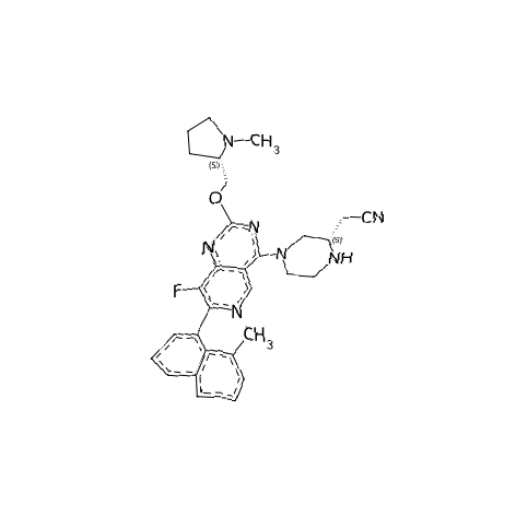 Cc1cccc2cccc(-c3ncc4c(N5CCN[C@@H](CC#N)C5)nc(OC[C@@H]5CCCN5C)nc4c3F)c12